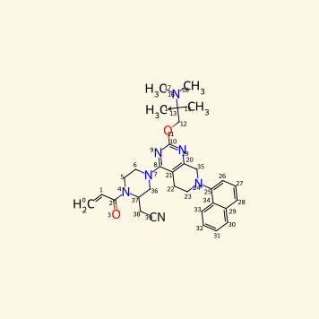 C=CC(=O)N1CCN(c2nc(OCC(C)(C)N(C)C)nc3c2CCN(c2cccc4ccccc24)C3)CC1CC#N